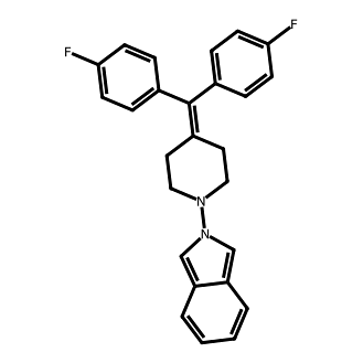 Fc1ccc(C(=C2CCN(n3cc4ccccc4c3)CC2)c2ccc(F)cc2)cc1